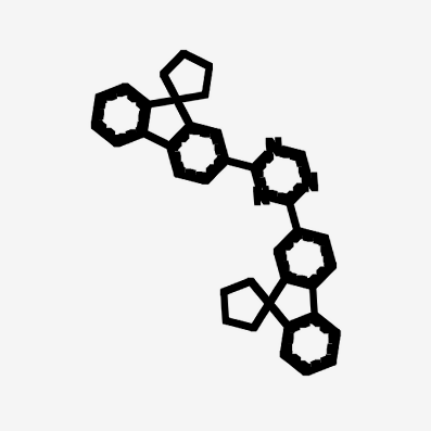 c1ccc2c(c1)-c1ccc(-c3ncnc(-c4ccc5c(c4)C4(CCCC4)c4ccccc4-5)n3)cc1C21CCCC1